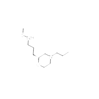 CCCN1CCO[C@@H](CCCNSC)C1